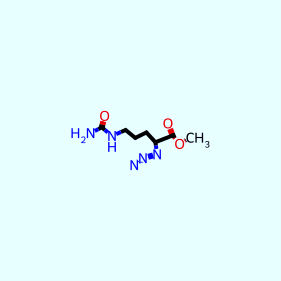 COC(=O)C(CCCNC(N)=O)N=[N+]=[N-]